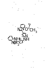 CC(Oc1cccc2ncc(-c3cnc(Nc4ccc(C(=O)Nc5ccccc5N)s4)s3)n12)C1CC1